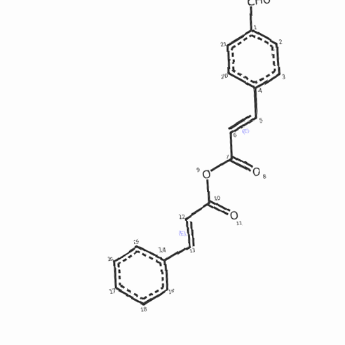 O=Cc1ccc(/C=C/C(=O)OC(=O)/C=C/c2ccccc2)cc1